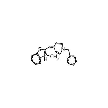 C[PH]1=C(C=C2C=CN(Cc3ccccc3)C=C2)Sc2ccccc21